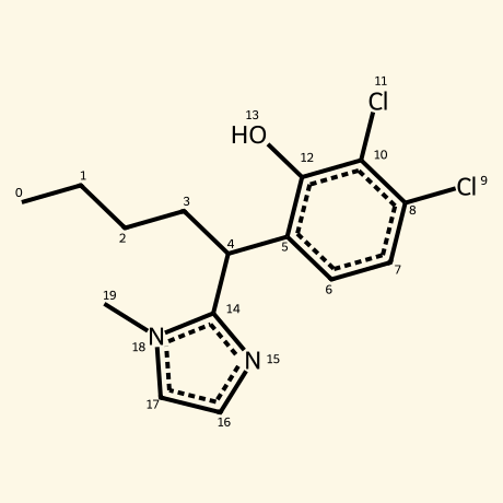 CCCCC(c1ccc(Cl)c(Cl)c1O)c1nccn1C